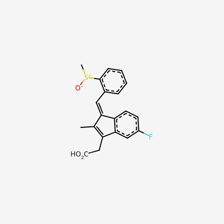 CC1=C(CC(=O)O)c2cc(F)ccc2C1=Cc1ccccc1[S+](C)[O-]